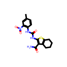 Cc1ccc(NC(=O)Nc2sc3c(c2C(N)=O)CCCC3)c([N+](=O)[O-])c1